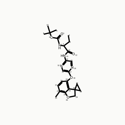 CCC(NC(=O)OC(C)(C)C)C(=O)Nc1cnc(Oc2ccc(C)c3c2C2(CC2)CO3)cn1